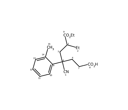 CCOC(=O)C(CC)CC(C#N)(CCC(=O)O)c1ccccc1C